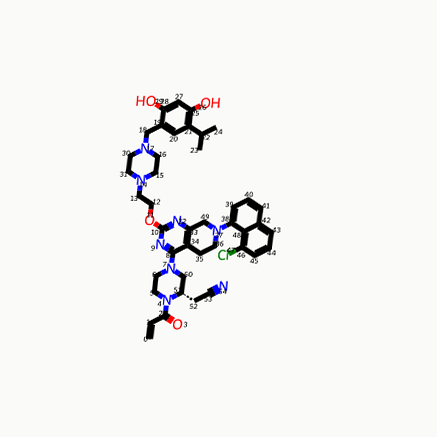 C=CC(=O)N1CCN(c2nc(OCCN3CCN(Cc4cc(C(C)C)c(O)cc4O)CC3)nc3c2CCN(c2cccc4cccc(Cl)c24)C3)C[C@@H]1CC#N